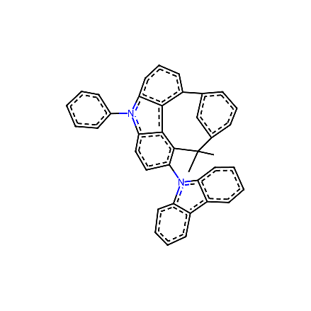 CC1(C)c2cccc(c2)-c2cccc3c2c2c1c(-n1c4ccccc4c4ccccc41)ccc2n3-c1ccccc1